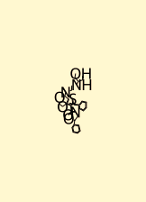 CCC(CO)NCCN(C)C(=O)c1sc2c(c1OC)c(=O)n(CC(=O)c1ccccc1)c1ccccc21